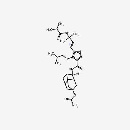 CC(C)COc1c(C(=O)N[C@H]2C3CC4CC2C[C@@](OC(N)=O)(C4)C3)cnn1/C=C/C(C)(C)NC(=O)C(C)C